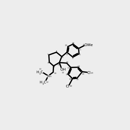 COc1ccc(C2CCCC(CN(C)C)C2(O)Cc2cc(Cl)cc(Cl)c2)cc1